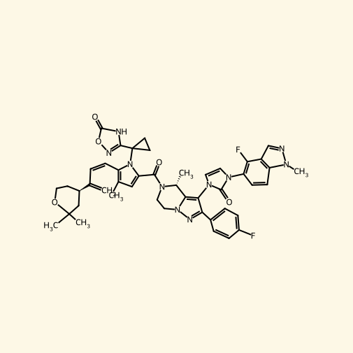 C=C(/C=C\c1c(C)cc(C(=O)N2CCn3nc(-c4ccc(F)cc4)c(-n4ccn(-c5ccc6c(cnn6C)c5F)c4=O)c3[C@H]2C)n1C1(c2noc(=O)[nH]2)CC1)[C@@H]1CCOC(C)(C)C1